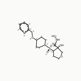 O=C(NO)C1(O)COCCC1S(=O)(=O)N1CCC(OCc2ccccn2)CC1